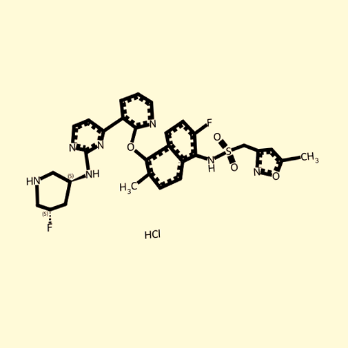 Cc1cc(CS(=O)(=O)Nc2c(F)ccc3c(Oc4ncccc4-c4ccnc(N[C@@H]5CNC[C@@H](F)C5)n4)c(C)ccc23)no1.Cl